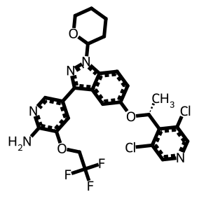 C[C@@H](Oc1ccc2c(c1)c(-c1cnc(N)c(OCC(F)(F)F)c1)nn2C1CCCCO1)c1c(Cl)cncc1Cl